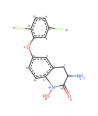 NC1Cc2cc(Oc3cc(F)ccc3F)ccc2N(O)C1=O